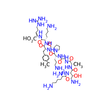 Cc1ccc(C[C@H](NC(=O)[C@@H]2CCCN2C(=O)[C@@H](CCCN)NC(=O)CNC(=O)[C@H](C)NC(=O)[C@@H](NC(=O)[C@@H](N)CCCCN)[C@@H](O)CN)C(=O)N[C@@H](CCCCN)C(=O)N/C(=C\CCNC(=N)N)C(=O)O)cc1